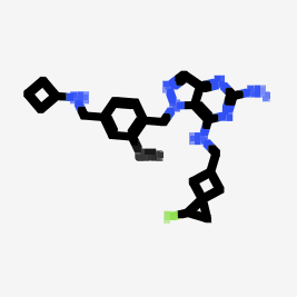 COc1cc(CNC2CCC2)ccc1Cn1ncc2nc(N)nc(NCC3CC4(C3)CC4F)c21